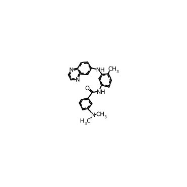 Cc1ccc(NC(=O)c2cccc(N(C)C)c2)cc1Nc1ccc2nccnc2c1